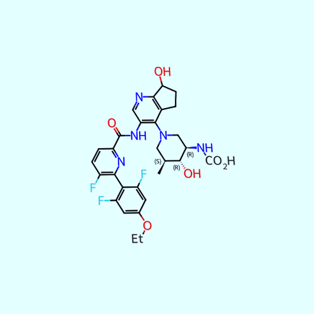 CCOc1cc(F)c(-c2nc(C(=O)Nc3cnc4c(c3N3C[C@H](C)[C@@H](O)[C@H](NC(=O)O)C3)CCC4O)ccc2F)c(F)c1